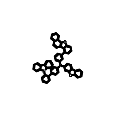 c1cc(-c2cccc3oc4c5ccccc5ccc4c23)cc(N(c2ccc(-c3ccccc3-n3c4ccccc4c4ccccc43)cc2)c2ccc3c(c2)oc2ccccc23)c1